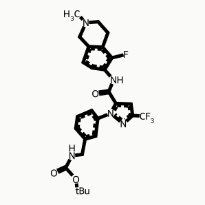 CN1CCc2c(ccc(NC(=O)c3cc(C(F)(F)F)nn3-c3cccc(CNC(=O)OC(C)(C)C)c3)c2F)C1